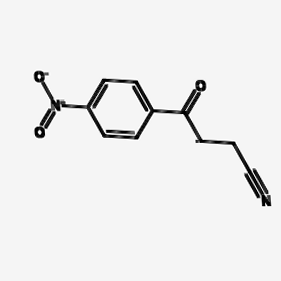 N#CC[CH]C(=O)c1ccc([N+](=O)[O-])cc1